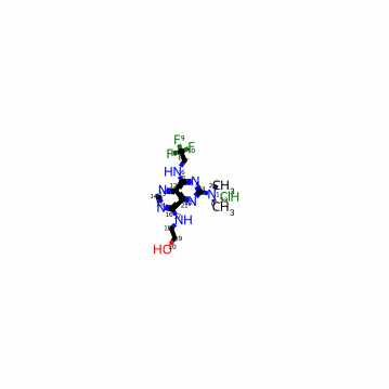 CN(C)c1nc(NCC(F)(F)F)c2ncnc(NCCO)c2n1.Cl